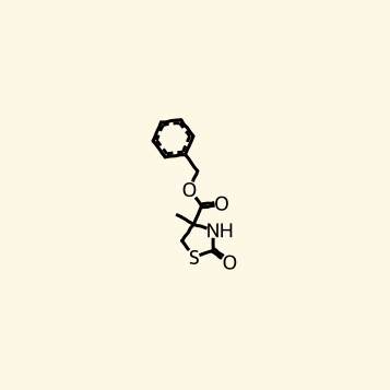 CC1(C(=O)OCc2ccccc2)CSC(=O)N1